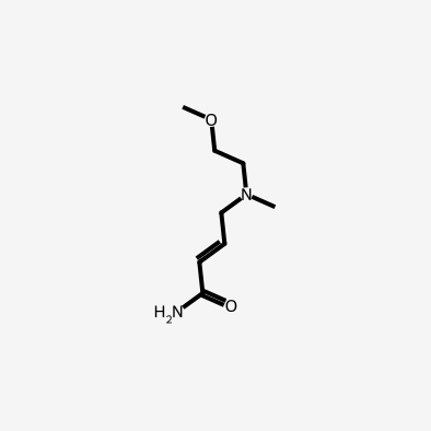 COCCN(C)CC=CC(N)=O